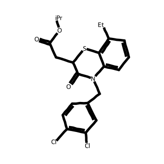 CCc1cccc2c1SC(CC(=O)OC(C)C)C(=O)N2Cc1ccc(Cl)c(Cl)c1